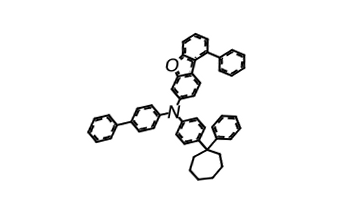 c1ccc(-c2ccc(N(c3ccc(C4(c5ccccc5)CCCCCC4)cc3)c3ccc4c(c3)oc3cccc(-c5ccccc5)c34)cc2)cc1